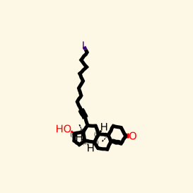 C[C@]12C(C#CCCCCCCCCI)C[C@H]3[C@@H](CCC4=CC(=O)CC[C@@]43C)[C@@H]1CC[C@H]2O